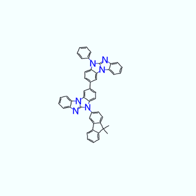 CC1(C)c2ccccc2-c2cc(-n3c4ccc(-c5ccc6c(c5)n5c7ccccc7nc5n6-c5ccccc5)cc4n4c5ccccc5nc34)ccc21